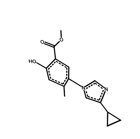 COC(=O)c1cc(-n2cnc(C3CC3)c2)c(C)cc1O